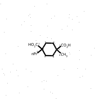 CCCC1(C(=O)O)CCC(C)(C(=O)O)CC1